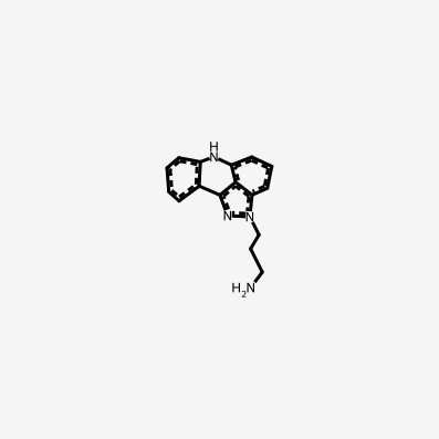 NCCCn1nc2c3c(cccc31)Nc1ccccc1-2